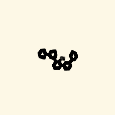 N#Cc1c(-c2cccc(-c3ccccc3)c2)cccc1-c1cccc(-c2ccccc2)c1